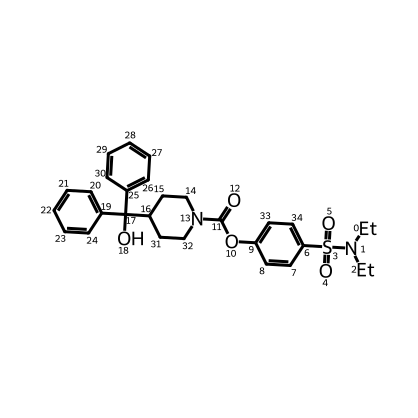 CCN(CC)S(=O)(=O)c1ccc(OC(=O)N2CCC(C(O)(c3ccccc3)c3ccccc3)CC2)cc1